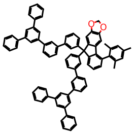 Cc1cc(C)c(-c2cccc3c2-c2cc4c(cc2C3(c2cccc(-c3cccc(-c5cc(-c6ccccc6)cc(-c6ccccc6)c5)c3)c2)c2cccc(-c3cccc(-c5cc(-c6ccccc6)cc(-c6ccccc6)c5)c3)c2)OCO4)c(C)c1